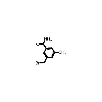 Cc1cc(CBr)cc(C(N)=O)c1